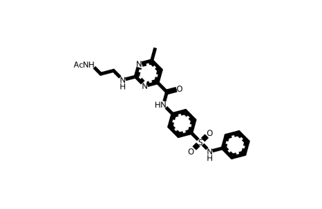 CC(=O)NCCNc1nc(C)cc(C(=O)Nc2ccc(S(=O)(=O)Nc3ccccc3)cc2)n1